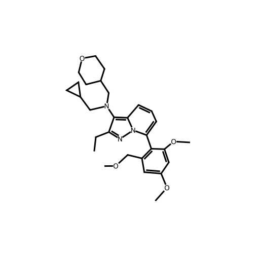 CCc1nn2c(-c3c(COC)cc(OC)cc3OC)cccc2c1N(CC1CCOCC1)CC1CC1